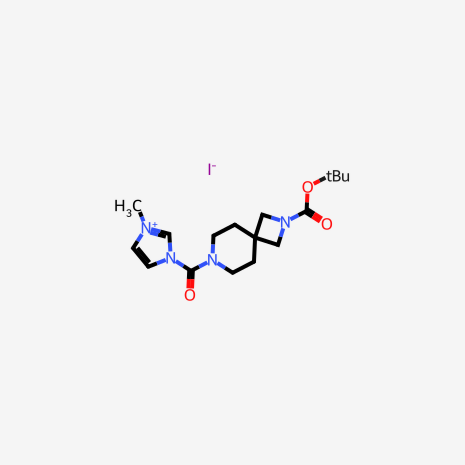 C[n+]1ccn(C(=O)N2CCC3(CC2)CN(C(=O)OC(C)(C)C)C3)c1.[I-]